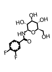 O=C(N[C@@H]1O[C@H](CO)[C@@H](O)[C@H](O)[C@H]1O)c1ccc(F)c(F)c1